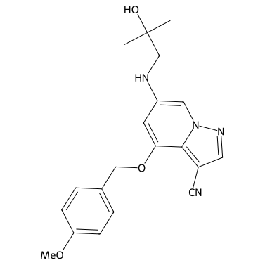 COc1ccc(COc2cc(NCC(C)(C)O)cn3ncc(C#N)c23)cc1